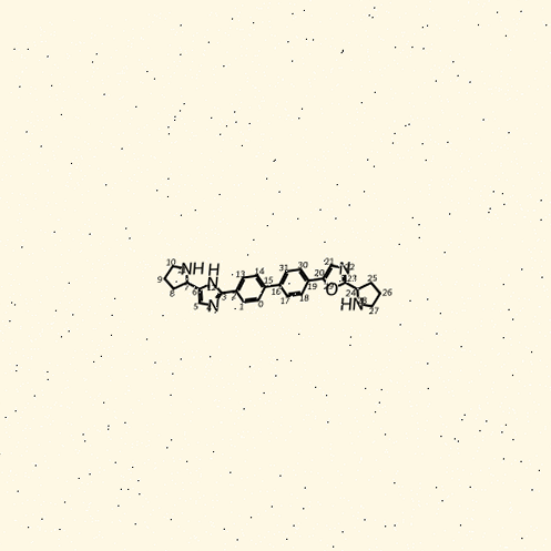 c1cc(-c2ncc(C3CCCN3)[nH]2)ccc1-c1ccc(-c2cnc(C3CCCN3)o2)cc1